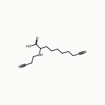 N#CCCCCCCC(NCCC#N)C(=O)O